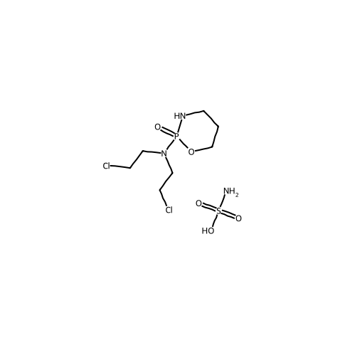 NS(=O)(=O)O.O=P1(N(CCCl)CCCl)NCCCO1